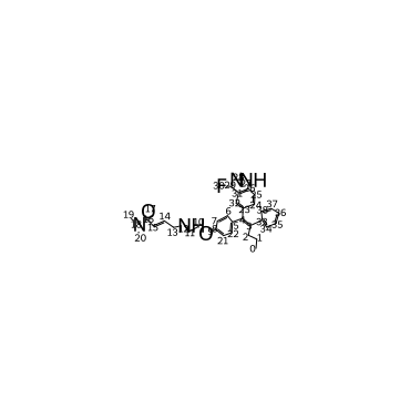 CCCC(=C(c1ccc(OCCNCC=CC(=O)N(C)C)cc1)c1ccc2[nH]nc(F)c2c1)c1ccccc1